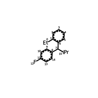 CCc1ccccc1C(c1ccc(F)cc1)C(C)C